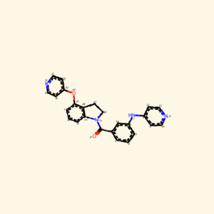 O=C(c1cccc(Nc2ccncc2)c1)N1CCc2c(Oc3ccncc3)cccc21